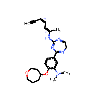 C#C/C=C\C=C(/C)NC1=NC(c2ccc(O[C@H]3CCCOCC3)c(N(C)C)c2)=NCC=N1